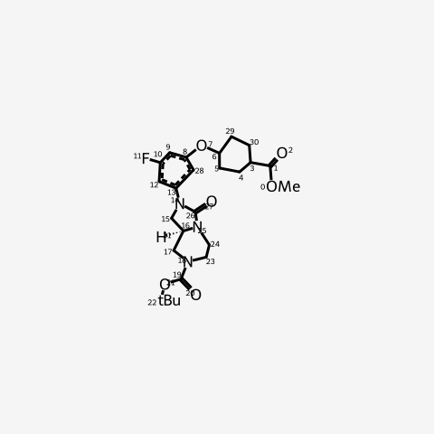 COC(=O)C1CCC(Oc2cc(F)cc(N3C[C@@H]4CN(C(=O)OC(C)(C)C)CCN4C3=O)c2)CC1